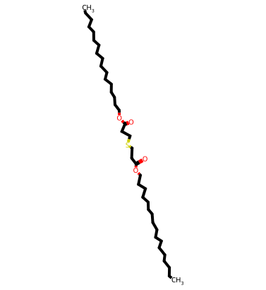 CCCCCCCCCCCCCCCCCOC(=O)CCSCCC(=O)OCCCCCCCCCCCCCCCCC